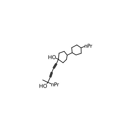 CCCC1CCC(C2CCC(O)(C#CC#CC(C)(O)CCC)CC2)CC1